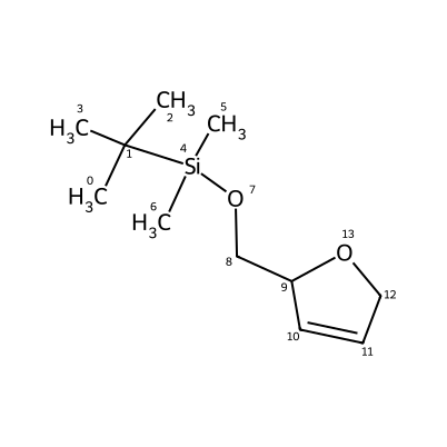 CC(C)(C)[Si](C)(C)OCC1C=CCO1